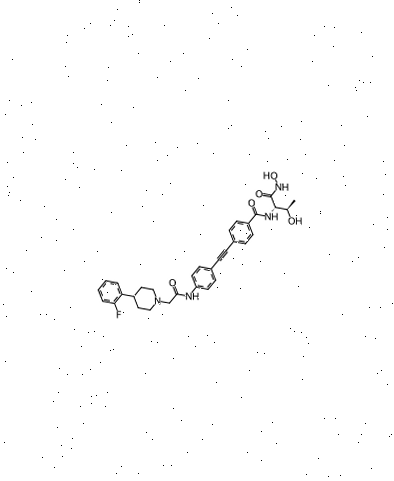 C[C@@H](O)[C@H](NC(=O)c1ccc(C#Cc2ccc(NC(=O)CN3CCC(c4ccccc4F)CC3)cc2)cc1)C(=O)NO